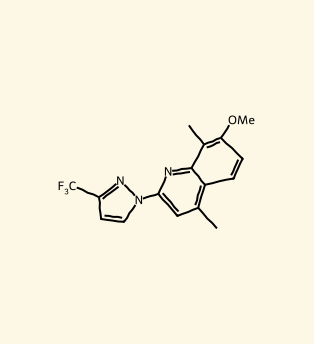 COc1ccc2c(C)cc(-n3ccc(C(F)(F)F)n3)nc2c1C